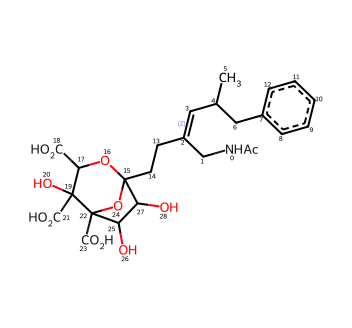 CC(=O)NC/C(=C\C(C)Cc1ccccc1)CCC12OC(C(=O)O)C(O)(C(=O)O)C(C(=O)O)(O1)C(O)C2O